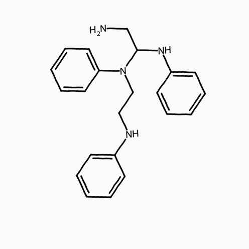 NCC(Nc1ccccc1)N(CCNc1ccccc1)c1ccccc1